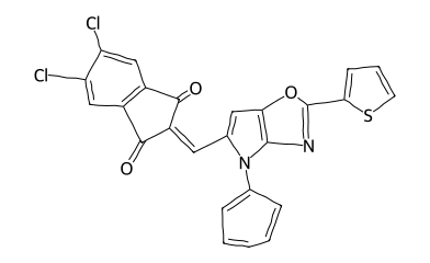 O=C1C(=Cc2cc3oc(-c4cccs4)nc3n2-c2ccccc2)C(=O)c2cc(Cl)c(Cl)cc21